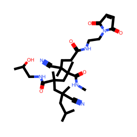 CNC(=O)C(C)(CC(C)(CC(C)(C#N)CC(C)C)C(=O)NCC(C)O)C(C)(C#N)CCC(=O)NCCN1C(=O)C=CC1=O